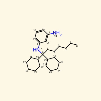 CCCCCCC(Nc1cccc(N)c1)(C1CCCCC1)C1CCCCC1